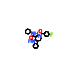 O=C(NC1CCCCC1)C1=CN(C(=O)c2ccc(F)cc2)CCc2c1[nH]c1ccccc21